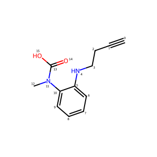 C#CCCNc1ccccc1N(C)C(=O)O